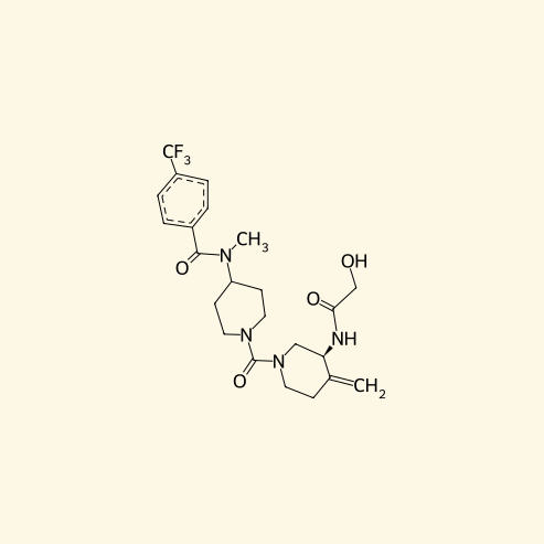 C=C1CCN(C(=O)N2CCC(N(C)C(=O)c3ccc(C(F)(F)F)cc3)CC2)C[C@H]1NC(=O)CO